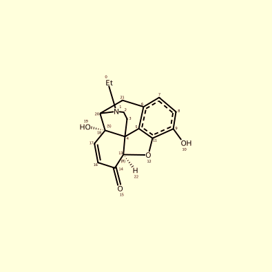 CCN1CCC23c4c5ccc(O)c4O[C@H]2C(=O)C=C[C@@]3(O)C1C5